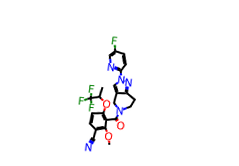 COc1c(C#N)ccc(OC(C)C(F)(F)F)c1C(=O)N1CCc2nn(-c3ccc(F)cn3)cc2C1